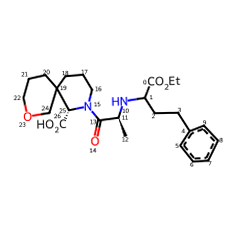 CCOC(=O)C(CCc1ccccc1)N[C@@H](C)C(=O)N1CCCC2(CCCOC2)[C@H]1C(=O)O